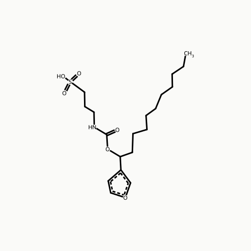 CCCCCCCCCCC(OC(=O)NCCCS(=O)(=O)O)c1ccoc1